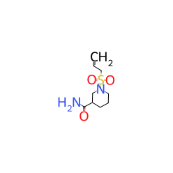 C=CCS(=O)(=O)N1CCCC(C(N)=O)C1